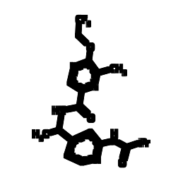 Cc1nc(C(=O)NC(C)c2ccnc(NC(=O)C(C)C)c2)cnc1OCC(F)(F)F